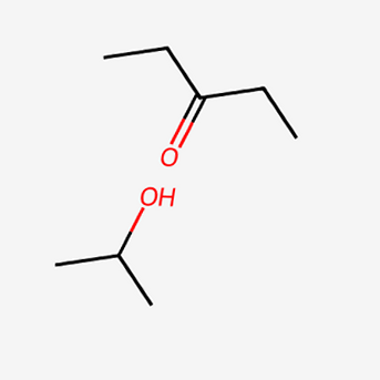 CC(C)O.CCC(=O)CC